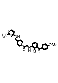 COc1ccc(C(=O)c2cccc(NCC(=O)N3CCC(CNc4ccnc(C)n4)CC3)c2Cl)cc1